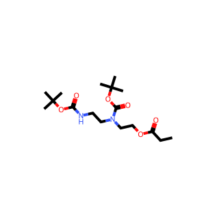 CCC(=O)OCCN(CCNC(=O)OC(C)(C)C)C(=O)OC(C)(C)C